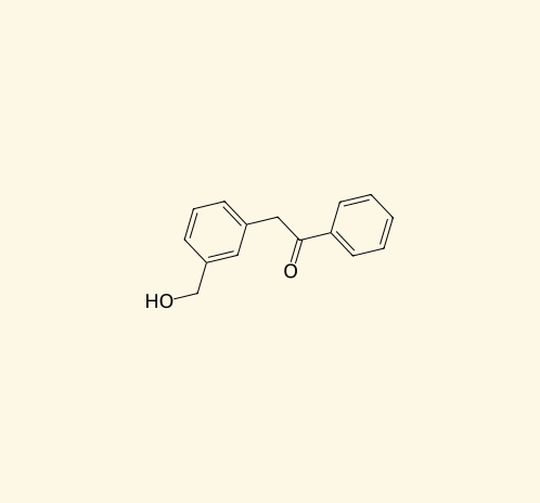 O=C(Cc1cccc(CO)c1)c1ccccc1